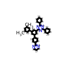 Cc1cc(C)cc(-c2cc(-c3ccc(-c4ncccn4)cc3)cc(-c3nc(-c4ccccc4)nc(C4C=CC=CC4)n3)c2)c1